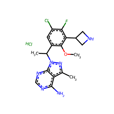 COc1c(C(C)n2nc(C)c3c(N)ncnc32)cc(Cl)c(F)c1C1CNC1.Cl